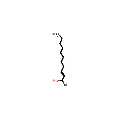 CCC(O)C=CCCCCCCCC(=O)O